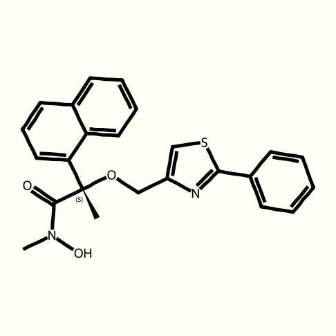 CN(O)C(=O)[C@@](C)(OCc1csc(-c2ccccc2)n1)c1cccc2ccccc12